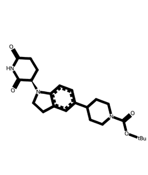 CC(C)(C)OC(=O)N1CCC(c2ccc3c(c2)CCN3[C@@H]2CCC(=O)NC2=O)CC1